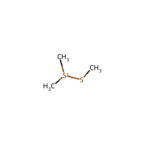 CS[S+](C)C